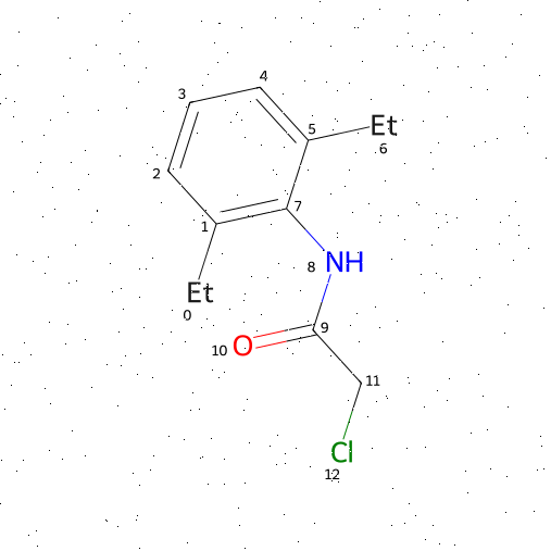 CCc1cccc(CC)c1NC(=O)CCl